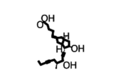 CCC#CC[C@H](C)[C@H](O)C#C[C@@H]1[C@H]2CC(=CCCCC(=O)O)C[C@H]2C[C@H]1O